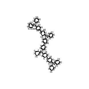 C1=CC(N(c2ccc(-c3ccc(N(c4ccccc4)c4ccccc4)cc3)cc2)c2ccc(-c3ccc(N(c4ccccc4)c4ccc(-c5ccc(N(c6ccccc6)c6ccccc6)cc5)cc4)cc3)cc2)=CCC1